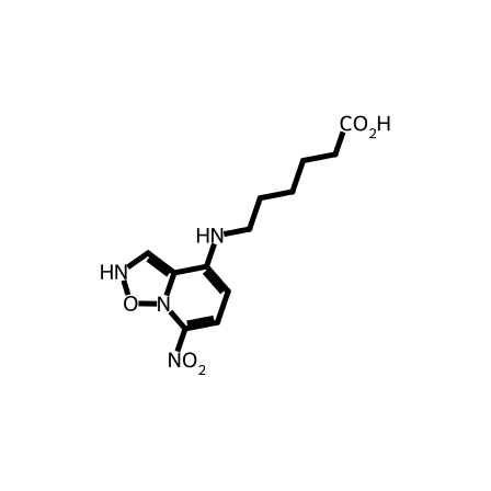 O=C(O)CCCCCNC1=CC=C([N+](=O)[O-])N2ONC=C12